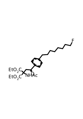 CCOC(=O)C(CC(=O)c1ccc(CCCCCCCCF)cc1)(NC(C)=O)C(=O)OCC